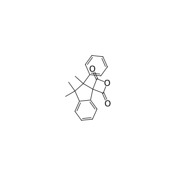 CC1(C)c2ccccc2C2(C(=O)OC2=O)C1(C)c1ccccc1